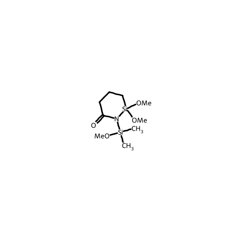 CO[Si](C)(C)N1C(=O)CCC[Si]1(OC)OC